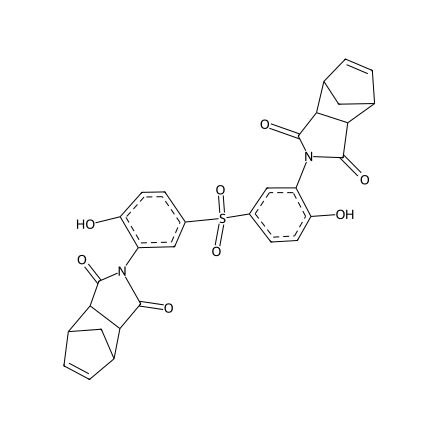 O=C1C2C3C=CC(C3)C2C(=O)N1c1cc(S(=O)(=O)c2ccc(O)c(N3C(=O)C4C5C=CC(C5)C4C3=O)c2)ccc1O